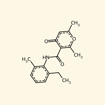 CCc1cccc(C)c1NC(=O)c1c(C)oc(C)cc1=O